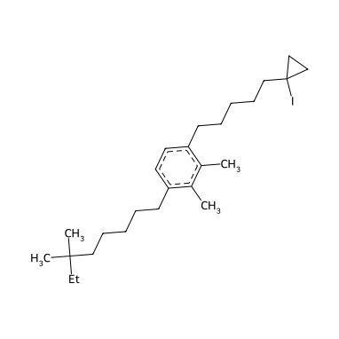 CCC(C)(C)CCCCCc1ccc(CCCCCC2(I)CC2)c(C)c1C